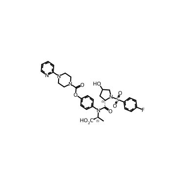 C[C@@H](C(=O)O)N(C(=O)[C@@H]1CC(O)CN1S(=O)(=O)c1ccc(F)cc1)c1ccc(OC(=O)N2CCN(c3ccccn3)CC2)cc1